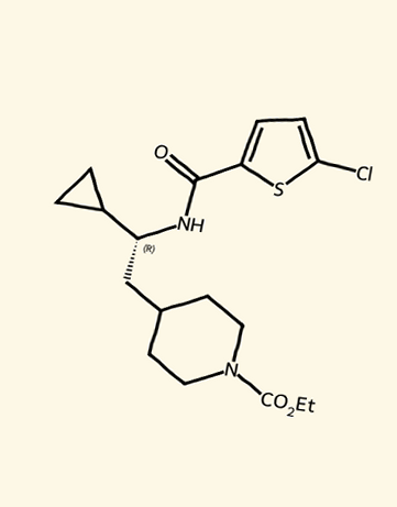 CCOC(=O)N1CCC(C[C@@H](NC(=O)c2ccc(Cl)s2)C2CC2)CC1